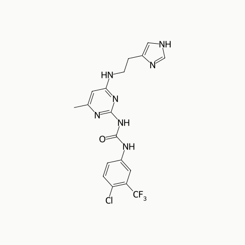 Cc1cc(NCCc2c[nH]cn2)nc(NC(=O)Nc2ccc(Cl)c(C(F)(F)F)c2)n1